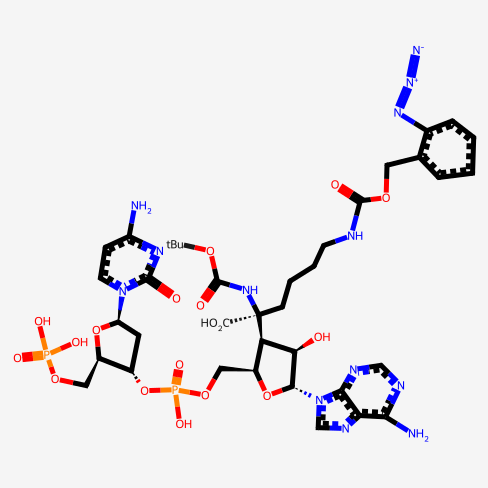 CC(C)(C)OC(=O)N[C@](CCCCNC(=O)OCc1ccccc1N=[N+]=[N-])(C(=O)O)[C@H]1[C@@H](O)[C@H](n2cnc3c(N)ncnc32)O[C@H]1COP(=O)(O)O[C@H]1C[C@H](n2ccc(N)nc2=O)O[C@@H]1COP(=O)(O)O